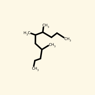 CCCC(C)C[C](C)C(C)CCC